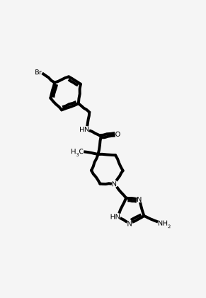 CC1(C(=O)NCc2ccc(Br)cc2)CCN(c2nc(N)n[nH]2)CC1